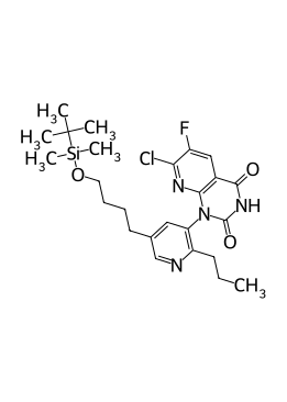 CCCc1ncc(CCCCO[Si](C)(C)C(C)(C)C)cc1-n1c(=O)[nH]c(=O)c2cc(F)c(Cl)nc21